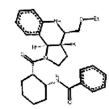 CCOC[C@@H]1Nc2ccccc2[C@H]2[C@H]1CCN2C(=O)[C@H]1CCCC[C@H]1NC(=O)c1ccccc1